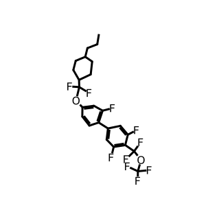 CCCC1CCC(C(F)(F)Oc2ccc(-c3cc(F)c(C(F)(F)OC(F)(F)F)c(F)c3)c(F)c2)CC1